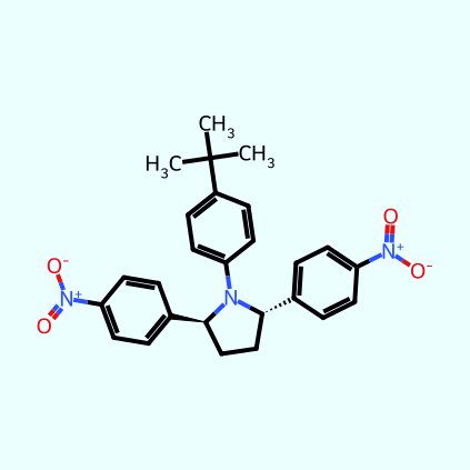 CC(C)(C)c1ccc(N2[C@H](c3ccc([N+](=O)[O-])cc3)CC[C@H]2c2ccc([N+](=O)[O-])cc2)cc1